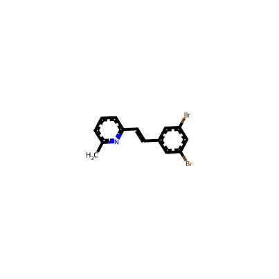 Cc1cccc(C=Cc2cc(Br)cc(Br)c2)n1